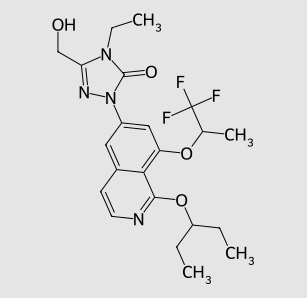 CCC(CC)Oc1nccc2cc(-n3nc(CO)n(CC)c3=O)cc(OC(C)C(F)(F)F)c12